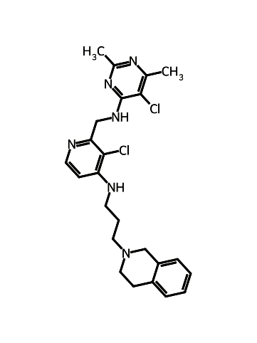 Cc1nc(C)c(Cl)c(NCc2nccc(NCCCN3CCc4ccccc4C3)c2Cl)n1